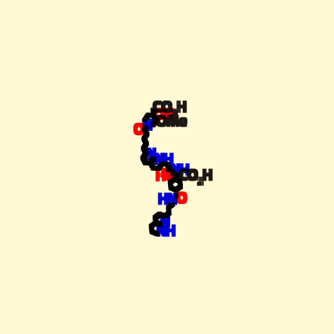 COC1CN(C(=O)CCCCc2ccc3c(n2)NC(CC(=O)NC(C(=O)O)[C@]2(O)CC[C@H](C(=O)NCCCc4ccc5c(n4)NCCC5)CC2)CC3)CC[C@@]1(O)CC(=O)O